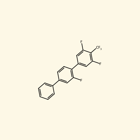 Fc1cc(-c2ccccc2)ccc1-c1cc(F)c(C(F)(F)F)c(F)c1